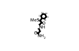 CS[C@@H](C(=O)CNCCC(N)=O)C1CCCCC1